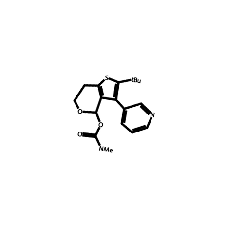 CNC(=O)OC1OCCc2sc(C(C)(C)C)c(-c3cccnc3)c21